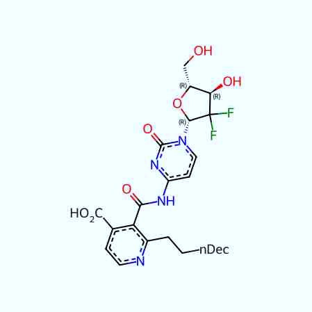 CCCCCCCCCCCCc1nccc(C(=O)O)c1C(=O)Nc1ccn([C@@H]2O[C@H](CO)[C@@H](O)C2(F)F)c(=O)n1